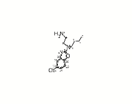 CCCCN(CCN)c1nc2cc(Cl)ccc2o1